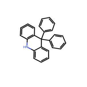 C1=C=CC2=C(C=1)Nc1ccccc1C2(c1ccccc1)c1ccccc1